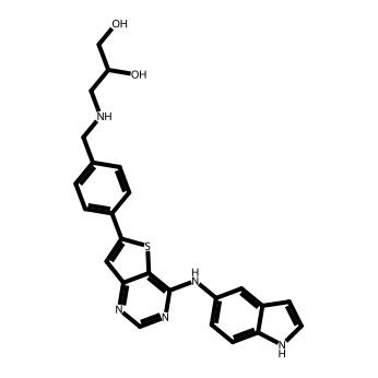 OCC(O)CNCc1ccc(-c2cc3ncnc(Nc4ccc5[nH]ccc5c4)c3s2)cc1